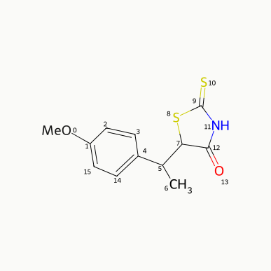 COc1ccc(C(C)C2SC(=S)NC2=O)cc1